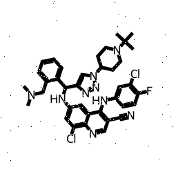 CN(C)Cc1ccccc1C(Nc1cc(Cl)c2ncc(C#N)c(Nc3ccc(F)c(Cl)c3)c2c1)c1cn(C2CCN(C(C)(C)C)CC2)nn1